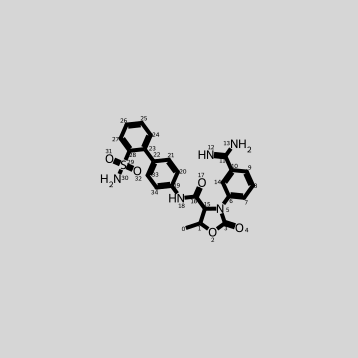 CC1OC(=O)N(c2cccc(C(=N)N)c2)C1C(=O)Nc1ccc(-c2ccccc2S(N)(=O)=O)cc1